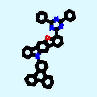 c1ccc(-c2nc(-c3ccccc3)nc(-c3cccc4c3oc3cc5c6ccccc6n(-c6ccc7c8ccccc8c8ccccc8c7c6)c5cc34)n2)cc1